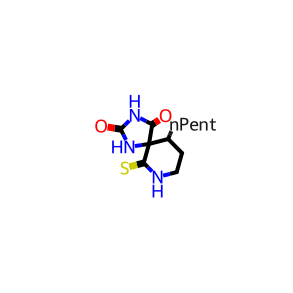 CCCCCC1CCNC(=S)C12NC(=O)NC2=O